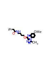 COc1ccc2c(c1)nc(OCCCCNC(=O)CC(C)C)c1nnc(C)n12